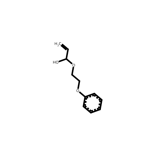 C=CC(O)OCCOc1ccccc1